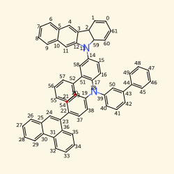 C1=CC2c3cc4ccccc4cc3N(c3ccc(N(c4ccc(-c5cc6ccccc6c6ccccc56)cc4)c4cccc(-c5ccccc5)c4)c(-c4ccccc4)c3)C2C=C1